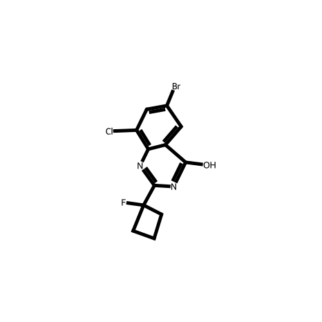 Oc1nc(C2(F)CCC2)nc2c(Cl)cc(Br)cc12